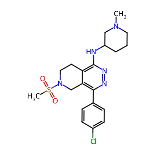 CN1CCCC(Nc2nnc(-c3ccc(Cl)cc3)c3c2CCN(S(C)(=O)=O)C3)C1